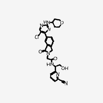 N#Cc1cccc(C(CO)NC(=O)CN2Cc3ccc(-c4nc(NC5CCOCC5)ncc4Cl)cc3C2=O)n1